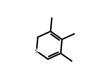 CC1=CS[CH]C(C)=C1C